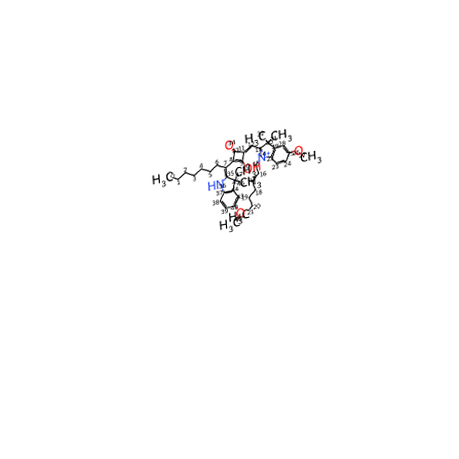 CCCCCCCC(C1=C(O)C(=CC2=[N+](CCCCCCC)c3ccc(OC)cc3C2(C)C)C1=O)=C1Nc2ccc(OC)cc2C1(C)C